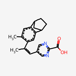 C/C(=C/c1cnc(C(=O)O)nc1)c1cc2c(cc1C)C1CCC2C1